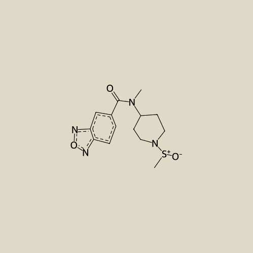 CN(C(=O)c1ccc2nonc2c1)C1CCN([S+](C)[O-])CC1